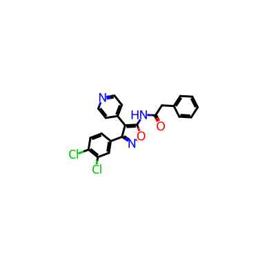 O=C(Cc1ccccc1)Nc1onc(-c2ccc(Cl)c(Cl)c2)c1-c1ccncc1